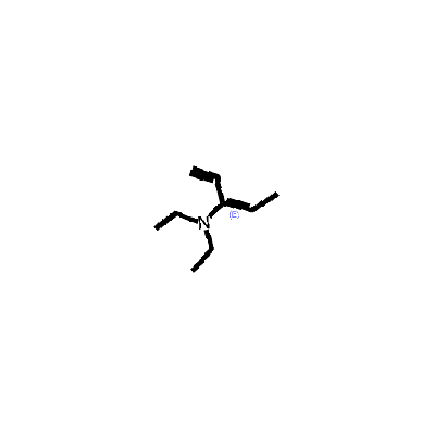 C=C/C(=C\C)N(CC)CC